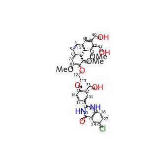 COc1cc(/C=C\c2cc(OC)c(OCCOc3ccc(C4NC(=O)c5cc(Cl)ccc5N4)cc3CO)c(OC)c2)cc(CO)c1CO